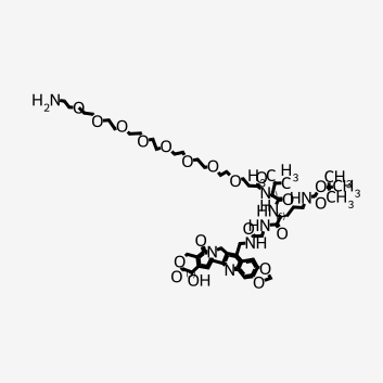 CC(C)[C@H](NC(=O)CCOCCOCCOCCOCCOCCOCCOCCOCCN)C(=O)N[C@@H](CCCNC(=O)OC(C)(C)C)C(=O)NCC(=O)NCc1c2c(nc3cc4c(cc13)OCO4)-c1cc3c(c(=O)n1C2)COC(=O)[C@H]3O